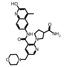 Cc1cc(O)nc2ccc(NC(=O)c3cc(CN4CCOCC4)cnc3N3CCC(C(N)=O)C3)cc12